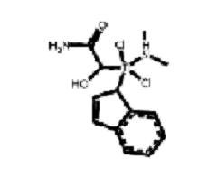 C[SiH](C)[Ti]([Cl])([Cl])([CH](O)C(N)=O)[CH]1C=Cc2ccccc21